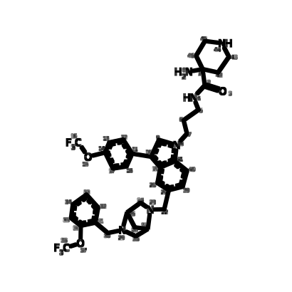 NC1(C(=O)NCCCn2cc(-c3ccc(OC(F)(F)F)cc3)c3cc(CN4CC5CC4CN5Cc4ccccc4OC(F)(F)F)ccc32)CCNCC1